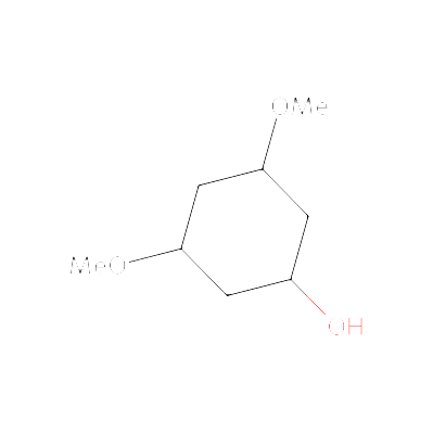 COC1CC(O)CC(OC)C1